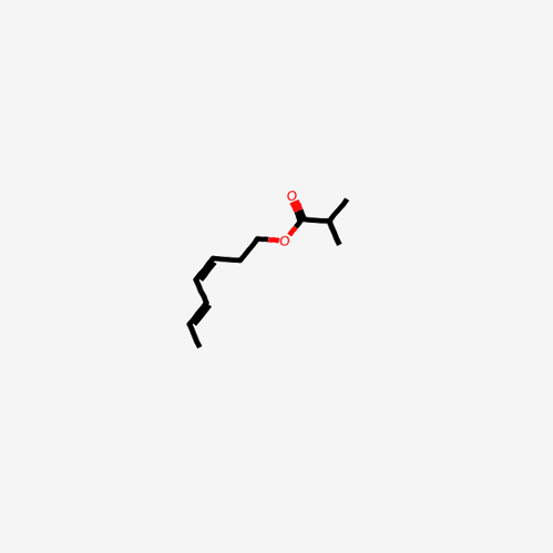 C/C=C/C=C\CCOC(=O)C(C)C